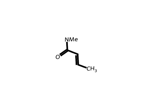 [CH2]NC(=O)/C=C/C